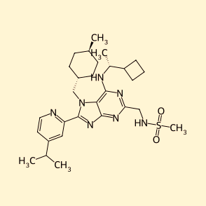 CC(C)c1ccnc(-c2nc3nc(CNS(C)(=O)=O)nc(N[C@H](C)C4CCC4)c3n2C[C@H]2CC[C@H](C)CC2)c1